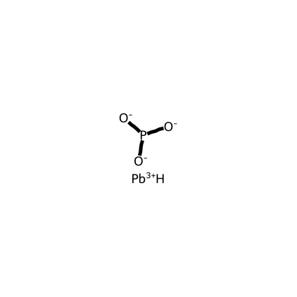 [O-]P([O-])[O-].[PbH+3]